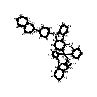 c1ccc2c(c1)Sc1c(ccc3c1c1ccccc1n3-c1ccc(-c3ccc4ccccc4c3)cc1)C21c2ccccc2-n2c3ccccc3c3cccc1c32